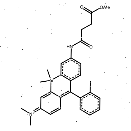 COC(=O)CCC(=O)Nc1ccc2c(c1)[Si](C)(C)C1=CC(=[N+](C)C)C=CC1=C2c1ccccc1C